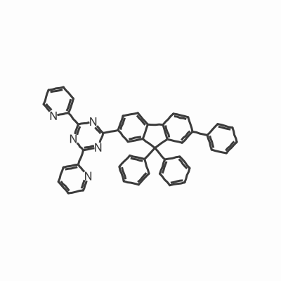 c1ccc(-c2ccc3c(c2)C(c2ccccc2)(c2ccccc2)c2cc(-c4nc(-c5ccccn5)nc(-c5ccccn5)n4)ccc2-3)cc1